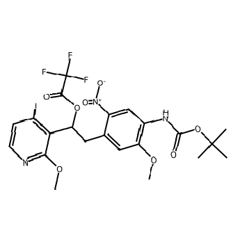 COc1cc(CC(OC(=O)C(F)(F)F)c2c(I)ccnc2OC)c([N+](=O)[O-])cc1NC(=O)OC(C)(C)C